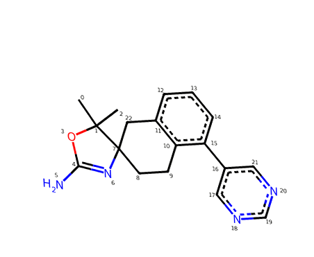 CC1(C)OC(N)=NC12CCc1c(cccc1-c1cncnc1)C2